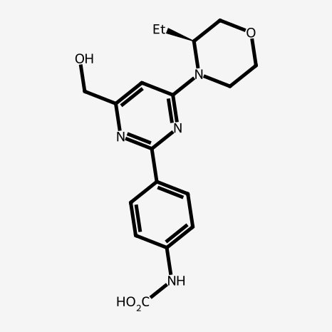 CC[C@H]1COCCN1c1cc(CO)nc(-c2ccc(NC(=O)O)cc2)n1